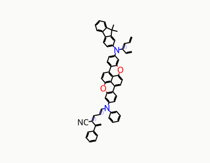 C=C/C=C(\C=C)N(c1ccc2c(c1)Oc1ccc3c4c(ccc-2c14)Oc1cc(N(/C=C/C=C(/C#N)C(=C)c2ccccc2)c2ccccc2)ccc1-3)c1ccc2c(c1)C(C)(C)c1ccccc1-2